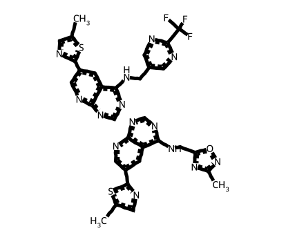 Cc1cnc(-c2cnc3ncnc(NCc4cnc(C(F)(F)F)nc4)c3c2)s1.Cc1noc(CNc2ncnc3ncc(-c4ncc(C)s4)cc23)n1